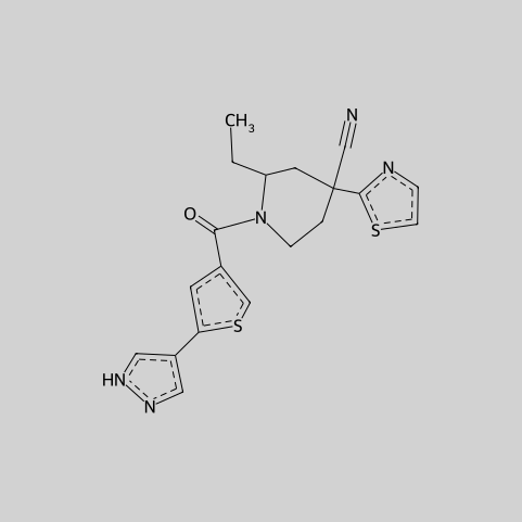 CCC1CC(C#N)(c2nccs2)CCN1C(=O)c1csc(-c2cn[nH]c2)c1